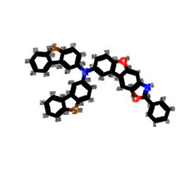 c1ccc(-c2nc3cc4oc5ccc(N(c6ccc7sc8ccccc8c7c6)c6ccc7sc8ccccc8c7c6)cc5c4cc3o2)cc1